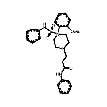 COc1ccccc1[N+]1(S(=O)(=O)Nc2ccccc2)CCN(CCC(=O)Nc2ccccc2)CC1